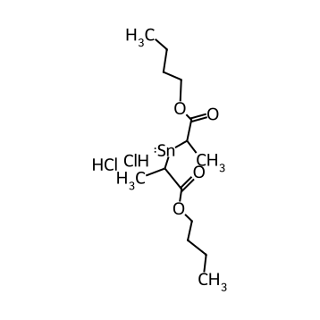 CCCCOC(=O)[CH](C)[Sn][CH](C)C(=O)OCCCC.Cl.Cl